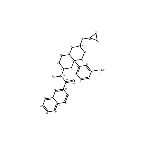 CC(=O)Oc1cccc(C23CCN(CC4CC4)CC2CCC(N(C)C(=O)c2ccc4ccccc4c2)C3)c1